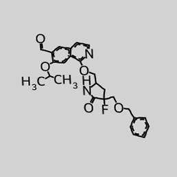 CC(C)Oc1cc2c(OCC3CC(F)(COCc4ccccc4)C(=O)N3)nccc2cc1C=O